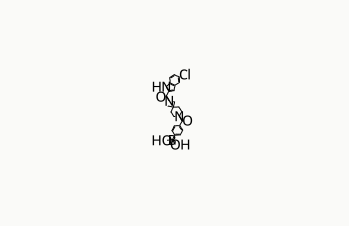 O=C(c1ccc(B(O)O)cc1)N1CCC2(CC1)CN(C(=O)c1cc3cc(Cl)ccc3[nH]1)C2